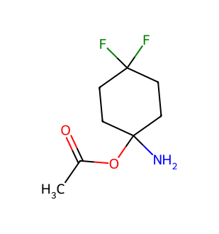 CC(=O)OC1(N)CCC(F)(F)CC1